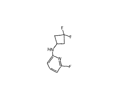 Fc1cccc(NC2CC(F)(F)C2)n1